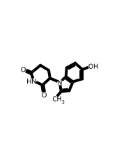 Cc1cc2cc(O)ccc2n1C1CCC(=O)NC1=O